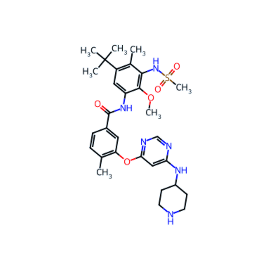 COc1c(NC(=O)c2ccc(C)c(Oc3cc(NC4CCNCC4)ncn3)c2)cc(C(C)(C)C)c(C)c1NS(C)(=O)=O